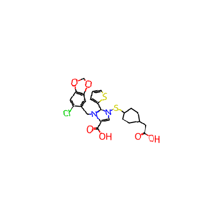 O=C(O)CC1CCC(SN2C=C(C(=O)O)N(Cc3cc4c(cc3Cl)OCO4)C2c2cccs2)CC1